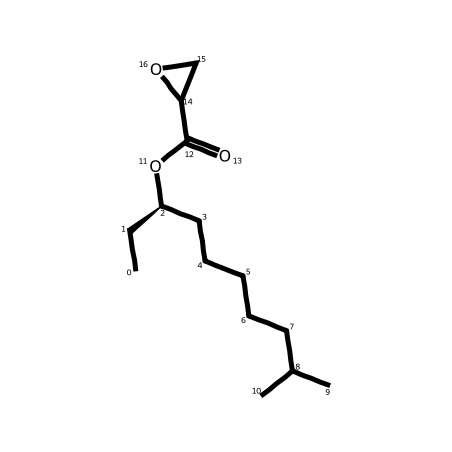 CC[C@H](CCCCCC(C)C)OC(=O)C1CO1